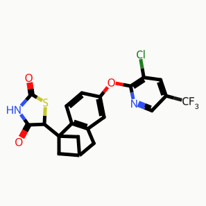 O=C1NC(=O)C(C23CC(Cc4cc(Oc5ncc(C(F)(F)F)cc5Cl)ccc42)C3)S1